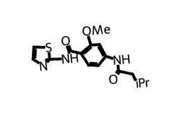 COc1cc(NC(=O)CC(C)C)ccc1C(=O)Nc1nccs1